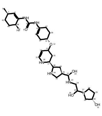 C[C@H]1C=C(NC(=O)NC2=CC[C@@H](OC3C=CN[C@H](C4C[C@@H]([C@@H](O)NCC(O)N5CC[C@H](O)C5)CN4)C3)CC2)[C@@H](F)CC1